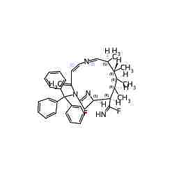 C=C1/C=C\N=C/[C@@H](C)[C@H](C)[C@@H](C)[C@@H](C)[C@@H](C(=N)F)[C@@H]2N=C(C2F)N1C(c1ccccc1)(c1ccccc1)c1ccccc1